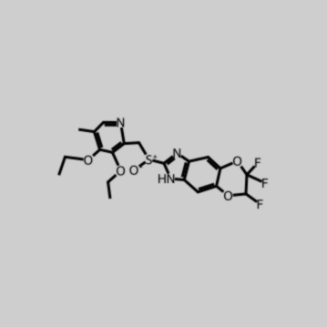 CCOc1c(C)cnc(C[S+]([O-])c2nc3cc4c(cc3[nH]2)OC(F)C(F)(F)O4)c1OCC